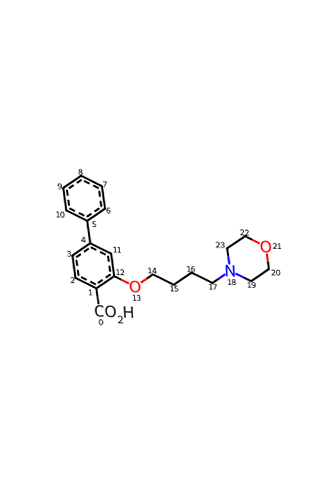 O=C(O)c1ccc(-c2ccccc2)cc1OCCCCN1CCOCC1